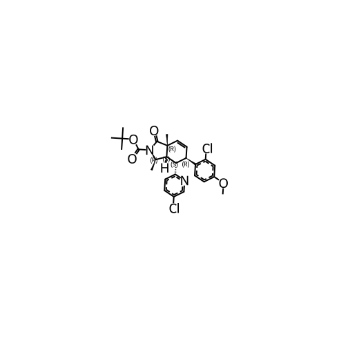 COc1ccc([C@@H]2C=C[C@@]3(C)C(=O)N(C(=O)OC(C)(C)C)[C@H](C)[C@H]3[C@H]2c2ccc(Cl)cn2)c(Cl)c1